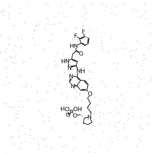 O=C(Cc1cc(Nc2ncnc3cc(OCCCCN4CCC[C@@H]4COP(=O)(O)O)ccc23)n[nH]1)Nc1cccc(F)c1F